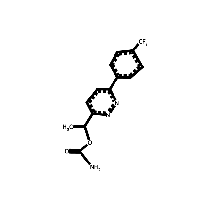 CC(OC(N)=O)c1ccc(-c2ccc(C(F)(F)F)cc2)nn1